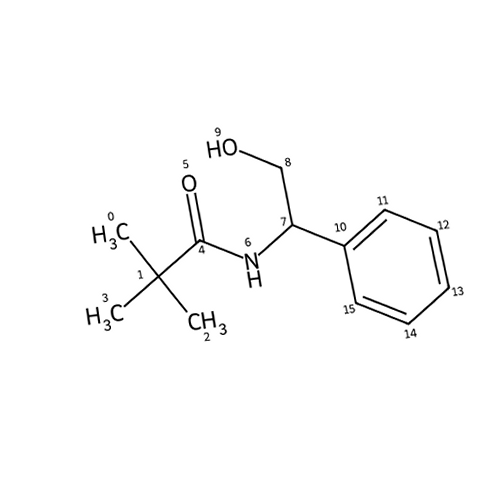 CC(C)(C)C(=O)NC(CO)c1ccccc1